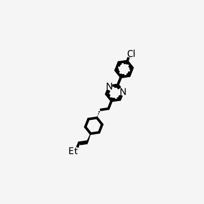 CC/C=C/[C@H]1CC[C@H](CCc2cnc(-c3ccc(Cl)cc3)nc2)CC1